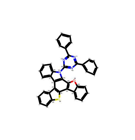 c1ccc(-c2nc(-c3ccccc3)nc(-n3c4ccccc4c4c5c6ccccc6sc5c5c6ccccc6oc5c43)n2)cc1